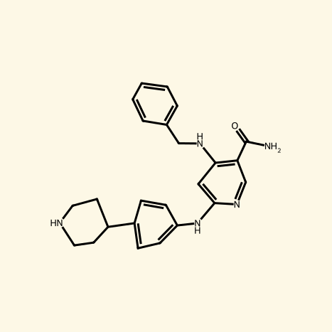 NC(=O)c1cnc(Nc2ccc(C3CCNCC3)cc2)cc1NCc1ccccc1